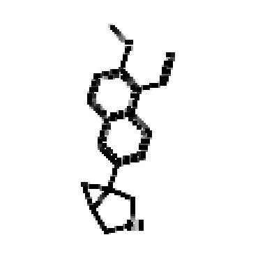 COc1ccc2cc(C34CNCC3C4)ccc2c1C=O